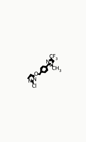 Cn1cc(C(F)(F)F)nc1-c1ccc(COc2ccnc(Cl)n2)cc1